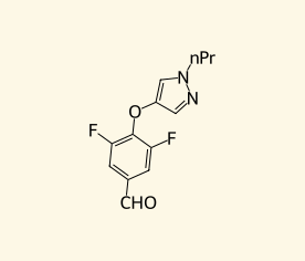 CCCn1cc(Oc2c(F)cc(C=O)cc2F)cn1